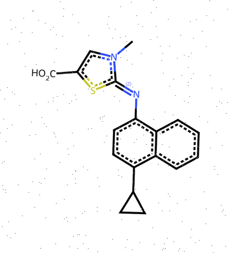 Cn1cc(C(=O)O)s/c1=N\c1ccc(C2CC2)c2ccccc12